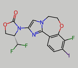 O=C1OC[C@@H](C(F)F)N1c1cn2c(n1)-c1ccc(I)c(F)c1OCC2